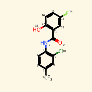 O=C(Nc1ccc(C(F)(F)F)cc1Cl)c1cc(F)ccc1O